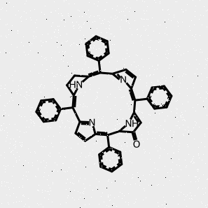 O=C1C=C2NC1C(c1ccccc1)=C1C=CC(=N1)C(c1ccccc1)=C1CCC(=C(c3ccccc3)C3=NC(=C2c2ccccc2)C=C3)N1